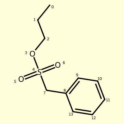 CCCOS(=O)(=O)Cc1ccccc1